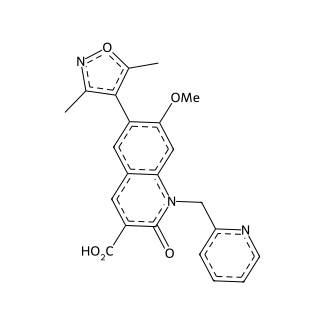 COc1cc2c(cc1-c1c(C)noc1C)cc(C(=O)O)c(=O)n2Cc1ccccn1